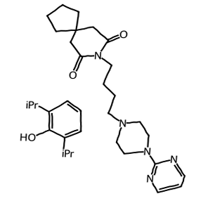 CC(C)c1cccc(C(C)C)c1O.O=C1CC2(CCCC2)CC(=O)N1CCCCN1CCN(c2ncccn2)CC1